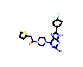 Nc1nc(N2CCN(C(=O)Cc3cccs3)CC2)c2nc(-c3ccc(F)cc3)[nH]c2n1